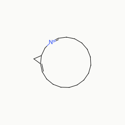 C1=N\CC2C/C2=C/CCCCCCCCCCCCC/1